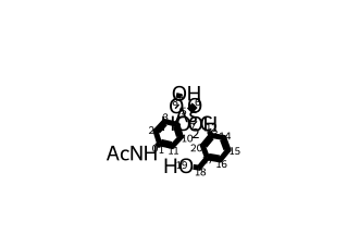 CC(=O)Nc1ccc([As](=O)(O)OO)cc1.O=C(O)c1cccc(CO)c1